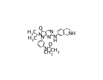 CC(=O)N(C)c1cccc(-n2c3nc(Nc4ccc5c(c4)CNCC5)ncc3c(=O)n2C(C)C)c1